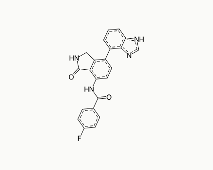 O=C(Nc1ccc(-c2cccc3[nH]cnc23)c2c1C(=O)NC2)c1ccc(F)cc1